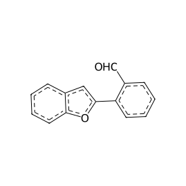 O=Cc1ccccc1-c1cc2ccccc2o1